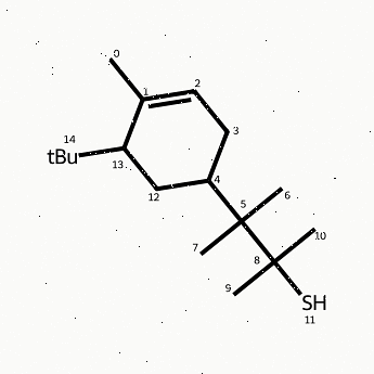 CC1=CCC(C(C)(C)C(C)(C)S)CC1C(C)(C)C